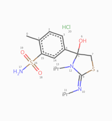 Cc1ccc(C2(O)CSC(=NC(C)C)N2C(C)C)cc1S(N)(=O)=O.Cl